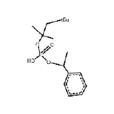 CC(OP(=O)(O)OC(C)(C)CC(C)(C)C)c1ccccc1